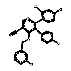 N#Cc1cnc(-c2ccc(Cl)cc2Cl)c(-c2ccc(Cl)cc2)c1OCc1cccc(Cl)c1